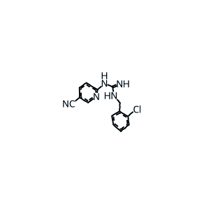 N#Cc1ccc(NC(=N)NCc2ccccc2Cl)nc1